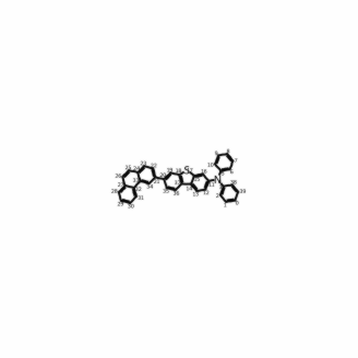 c1ccc(N(c2ccccc2)c2ccc3c(c2)sc2cc(-c4ccc5ccc6ccccc6c5c4)ccc23)cc1